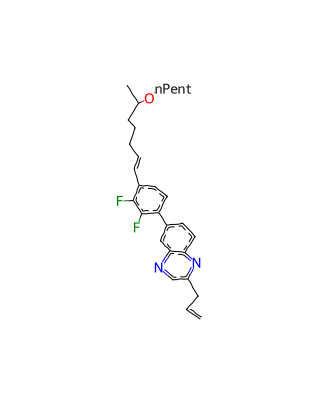 C=CCc1cnc2cc(-c3ccc(C=CCCCC(C)OCCCCC)c(F)c3F)ccc2n1